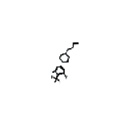 C=CCC[C@H]1CC[C@H](c2cc(F)c(C(F)(F)F)c(F)c2)CC1